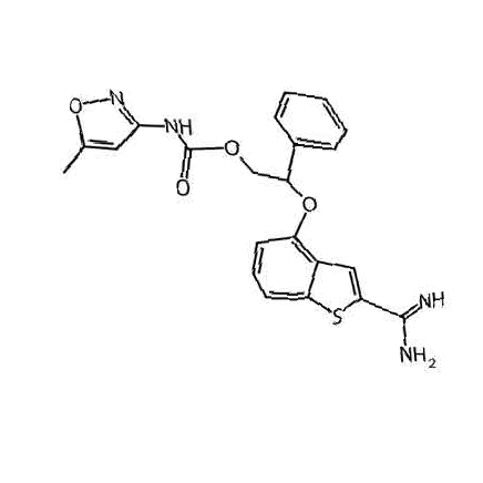 Cc1cc(NC(=O)OCC(Oc2cccc3sc(C(=N)N)cc23)c2ccccc2)no1